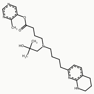 Cc1ncncc1OC(=O)CCCN(CCCCc1ccc2c(n1)NCCC2)CC(C)(C)O